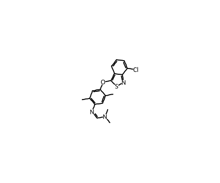 Cc1cc(Oc2snc3c(Cl)cccc23)c(C)cc1/N=C\N(C)C